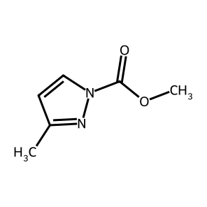 COC(=O)n1ccc(C)n1